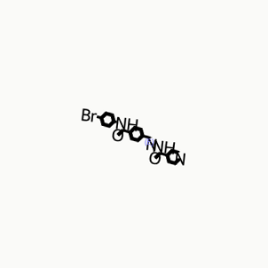 O=C(N/N=C/c1ccc(C(=O)Nc2ccc(Br)cc2)cc1)c1ccncc1